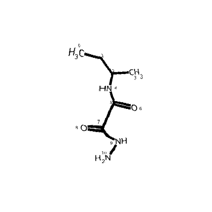 CCC(C)NC(=O)C(=O)NN